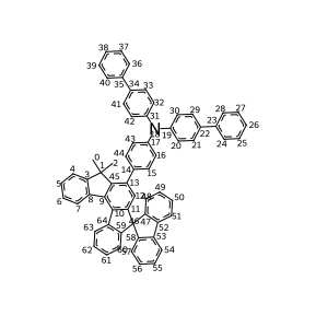 CC1(C)c2ccccc2-c2c3c(cc(-c4ccc(N(c5ccc(-c6ccccc6)cc5)c5ccc(-c6ccccc6)cc5)cc4)c21)C1(c2ccccc2-c2ccccc21)c1ccccc1-3